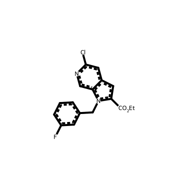 CCOC(=O)c1cc2cc(Cl)ncc2n1Cc1cccc(F)c1